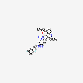 COC(=O)c1cccc2nc(OC)c(C[C@H](N)[C@H]3CC[C@H](NC/C=C/c4cc(F)ccc4F)CC3)cc12